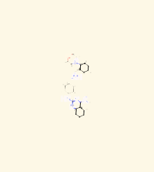 CN(C)c1nc(N[C@H]2CC[C@@H](CNCc3ccccc3N3CCOCC3)CC2)nc2ccccc12